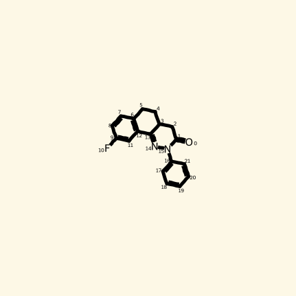 O=C1CC2CCc3ccc(F)cc3C2=NN1c1ccccc1